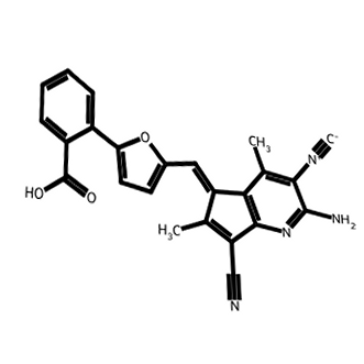 [C-]#[N+]c1c(N)nc2c(c1C)/C(=C/c1ccc(-c3ccccc3C(=O)O)o1)C(C)=C2C#N